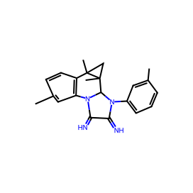 Cc1cccc(N2C(=N)C(=N)N3c4cc(C)ccc4C4(C)CC4(C)C23)c1